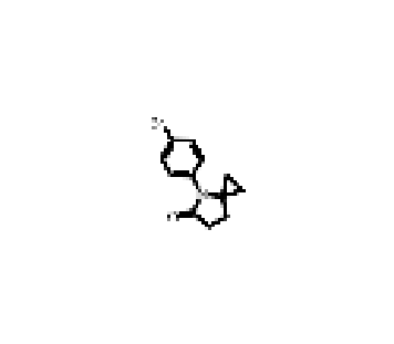 O=C1CCC2(CC2)N1c1ccc(Br)cc1